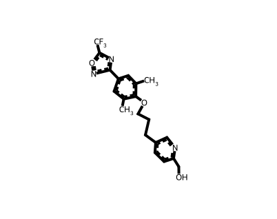 Cc1cc(-c2noc(C(F)(F)F)n2)cc(C)c1OCCCc1ccc(CO)nc1